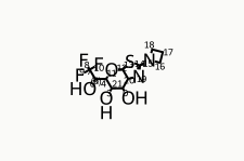 OC1C(O)C([C@@H](O)C(F)(F)F)OC2SC(N3CCC3)=NC21